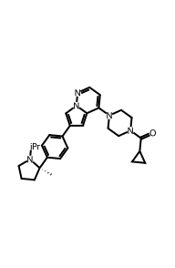 CC(C)N1CCC[C@]1(C)c1ccc(-c2cc3c(N4CCN(C(=O)C5CC5)CC4)ccnn3c2)cc1